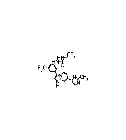 O=C(NCC(F)(F)F)Nc1cc(C2=CNC3C=C(c4ccnc(C(F)(F)F)n4)C=CN23)cc(C(F)(F)F)c1